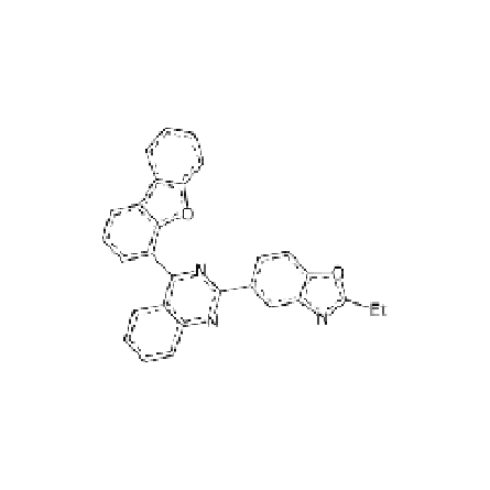 CCc1nc2cc(-c3nc(-c4cccc5c4oc4ccccc45)c4ccccc4n3)ccc2o1